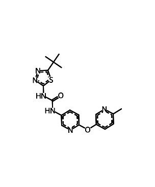 Cc1ccc(Oc2ccc(NC(=O)Nc3nnc(C(C)(C)C)s3)cn2)cn1